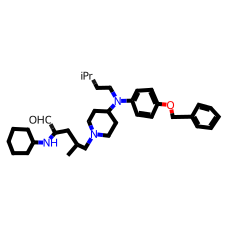 CC(C)CCN(c1ccc(OCc2ccccc2)cc1)C1CCN(CC(C)CC(C=O)NC2CCCCC2)CC1